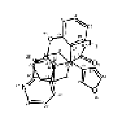 CC(=O)N1CC2CCC(C1)N2C(c1ccoc1)c1ccccc1Oc1nc2ncccc2s1